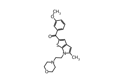 COc1cccc(C(=O)c2cc3cc(C)n(CCN4CCOCC4)c3s2)c1